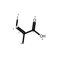 C/C(=I/I)C(=O)O